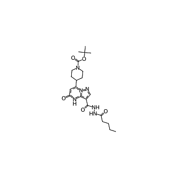 CCCCC(=O)NNC(=O)c1cnn2c(C3CCN(C(=O)OC(C)(C)C)CC3)cc(=O)[nH]c12